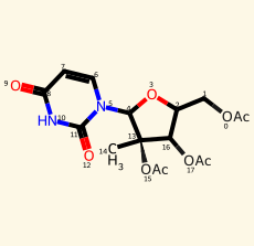 CC(=O)OCC1OC(n2ccc(=O)[nH]c2=O)[C@](C)(OC(C)=O)C1OC(C)=O